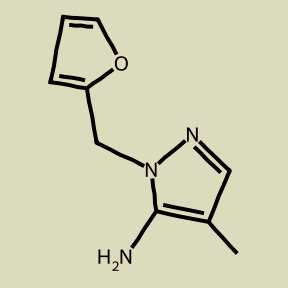 Cc1cnn(Cc2ccco2)c1N